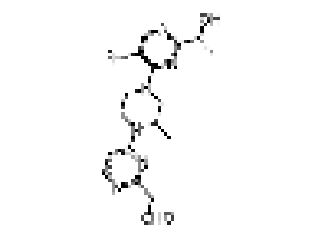 [2H]c1cnc([C@@H](C)O)nc1N1CCN(c2ccnc(CC=O)n2)C(C)C1